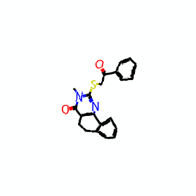 Cn1c(SCC(=O)c2ccccc2)nc2c(c1=O)CCc1ccccc1-2